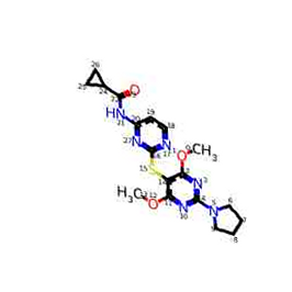 COc1nc(N2CCCC2)nc(OC)c1Sc1nccc(NC(=O)C2CC2)n1